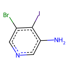 Nc1cncc(Br)c1I